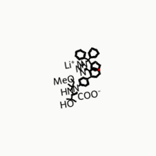 COCC1(C)NC(C(C)(C)O)=C(C(=O)[O-])N1c1ccc(-c2ccccc2-c2nnnn2C(c2ccccc2)(c2ccccc2)c2ccccc2)cc1.[Li+]